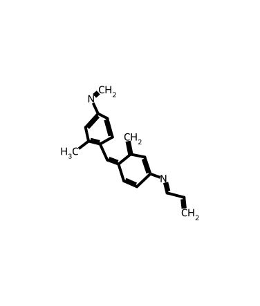 C=CC=Nc1cc/c(=C/c2ccc(N=C)cc2C)c(=C)c1